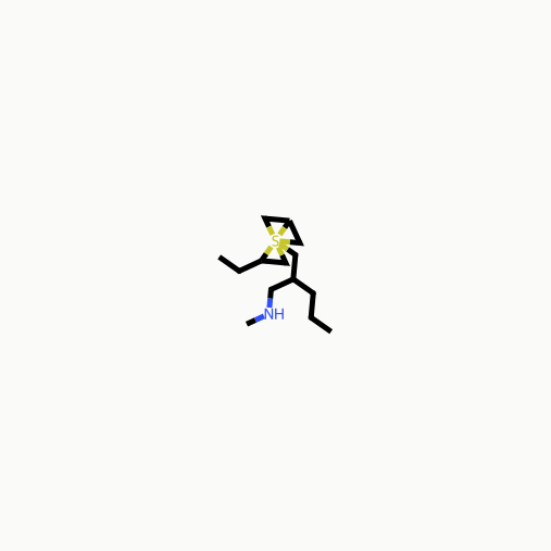 CCCC(CNC)CS123(CC1CC)CC2C3